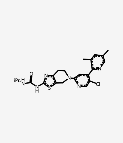 Cc1cnc(-c2cc(N3CCc4nc(NC(=O)NC(C)C)sc4C3)ncc2Cl)c(C)c1